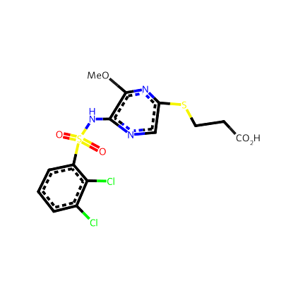 COc1nc(SCCC(=O)O)cnc1NS(=O)(=O)c1cccc(Cl)c1Cl